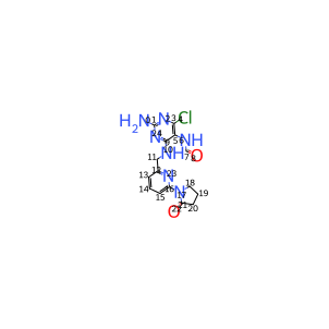 Nc1nc(Cl)c(NC=O)c(NCc2cccc(N3CCCC3=O)n2)n1